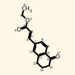 CCOC(=O)/C=C/c1ccc2c(c1)CCCC2=O